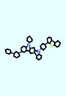 c1ccc(-c2cccc(-c3ccc4c(c3)c3cc5c6ccccc6n(-c6ccc(-c7cccc8c7sc7ccccc78)cc6)c5cc3n4-c3ccccc3)c2)cc1